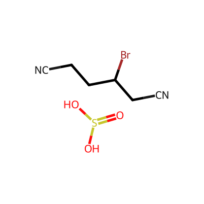 N#CCCC(Br)CC#N.O=S(O)O